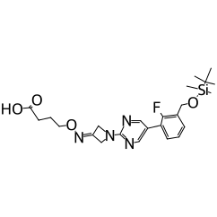 CC(C)(C)[Si](C)(C)OCc1cccc(-c2cnc(N3CC(=NOCCCC(=O)O)C3)nc2)c1F